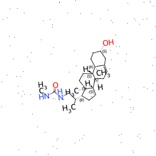 CNC(=O)NCC(C)[C@H]1CC[C@H]2[C@@H]3CC=C4C[C@@H](O)CC[C@]4(C)[C@H]3CC[C@]12C